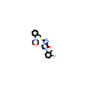 Cc1c(Cl)cccc1-n1ccn2c(SCc3ccccc3N3CCOCC3)nnc2c1=O